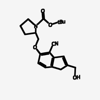 CC(C)(C)OC(=O)N1CCCC1COc1ccc2c(c1C#N)C=C(CO)C2